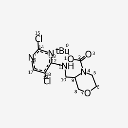 CC(C)(C)OC(=O)N1CCOCC1CNc1nc(Cl)ncc1Cl